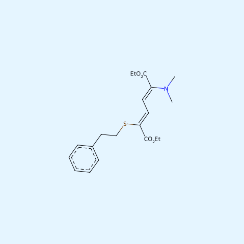 CCOC(=O)/C(=C/C=C(/C(=O)OCC)N(C)C)SCCc1ccccc1